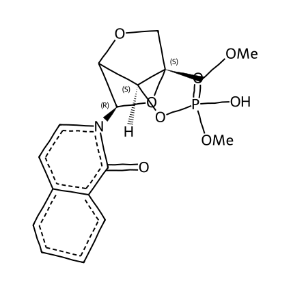 COC[C@@]12COC([C@H](n3ccc4ccccc4c3=O)O1)[C@@H]2OP(=O)(O)OC